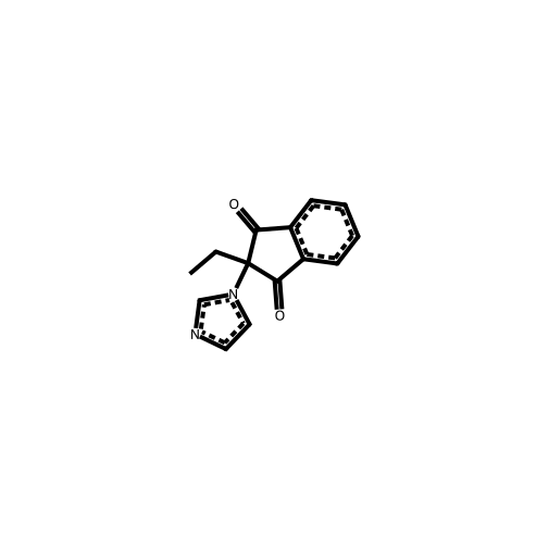 CCC1(n2ccnc2)C(=O)c2ccccc2C1=O